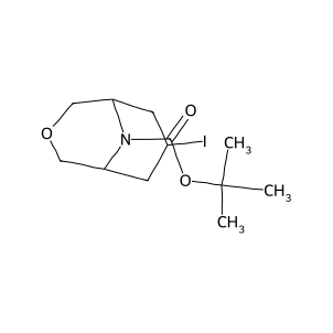 CC(C)(C)OC(=O)N1C2COCC1CC(I)C2